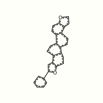 c1ccc(-c2cc3c(ccc4c3ccc3c5ccc6occc6c5ccc43)o2)cc1